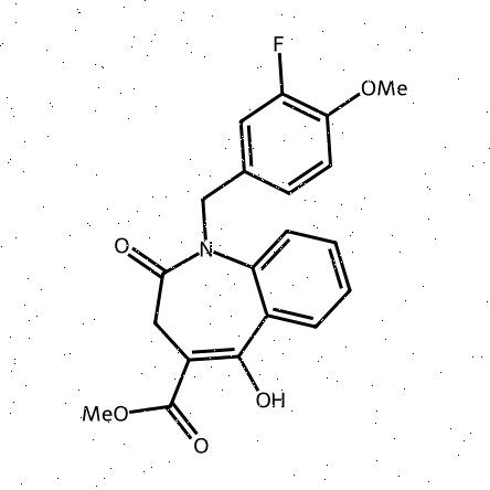 COC(=O)C1=C(O)c2ccccc2N(Cc2ccc(OC)c(F)c2)C(=O)C1